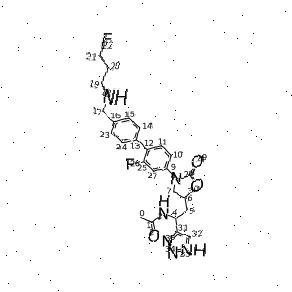 CC(=O)NC(CC1CN(c2ccc(-c3ccc(CNCCCF)cc3)c(F)c2)C(=O)O1)c1c[nH]nn1